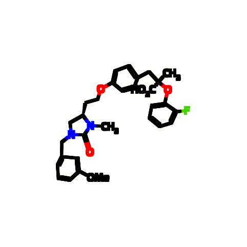 COc1cccc(CN2C[C@H](CCOc3ccc(C[C@@](C)(Oc4ccccc4F)C(=O)O)cc3)N(C)C2=O)c1